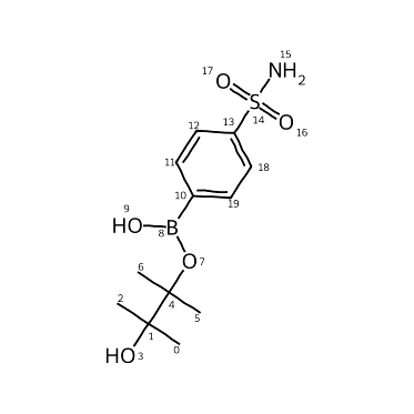 CC(C)(O)C(C)(C)OB(O)c1ccc(S(N)(=O)=O)cc1